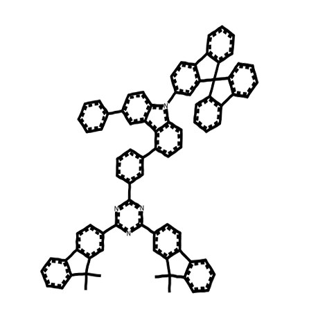 CC1(C)c2ccccc2-c2ccc(-c3nc(-c4cccc(-c5cccc6c5c5cc(-c7ccccc7)ccc5n6-c5ccc6c(c5)C5(c7ccccc7-c7ccccc75)c5ccccc5-6)c4)nc(-c4ccc5c(c4)C(C)(C)c4ccccc4-5)n3)cc21